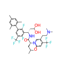 Cc1cc(C)c(-c2cc(C(F)(F)F)c(F)c([C@H](CC(O)O)NC(=O)[C@H](CC(C)C)n3cc(CCN(C)C)c(C(F)(F)F)cc3=O)c2F)c(C)c1